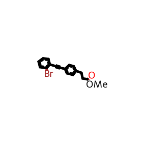 COC(=O)CCc1ccc(C#Cc2ccccc2Br)cc1